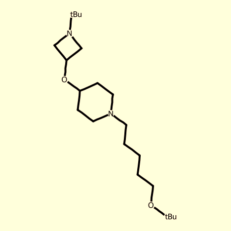 CC(C)(C)OCCCCCN1CCC(OC2CN(C(C)(C)C)C2)CC1